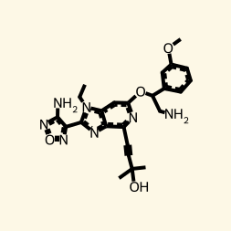 CCn1c(-c2nonc2N)nc2c(C#CC(C)(C)O)nc(OC(CN)c3cccc(OC)c3)cc21